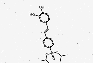 CC(C)OP(=O)(OC(C)C)c1ccc(C=Cc2ccc(O)c(O)c2)cc1